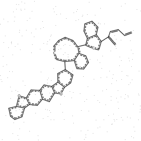 C=C/C=C\C(=C)c1ccc(-c2ccccccc(-c3ccc4oc5cc6cc7c(cc6cc5c4c3)oc3ccccc37)c3ccccc23)c2ccccc12